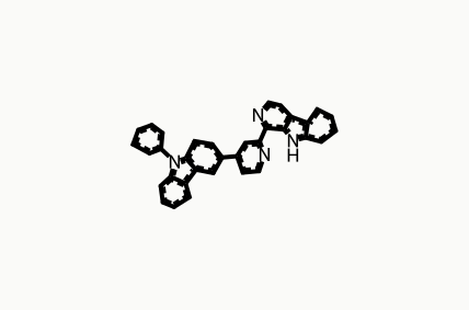 c1ccc(-n2c3ccccc3c3cc(-c4ccnc(-c5nccc6c5[nH]c5ccccc56)c4)ccc32)cc1